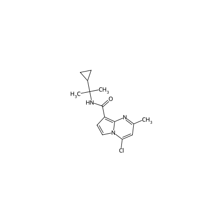 Cc1cc(Cl)n2ccc(C(=O)NC(C)(C)C3CC3)c2n1